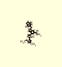 CCn1nc(C)cc1-c1nnc(-c2cc(C(N)=O)cc3c2cnn3CC2C[C@H]3CC[C@@H](C2)N3)[nH]1